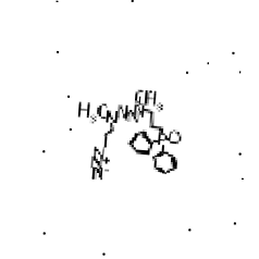 CN(CCCN=[N+]=[N-])/N=N/N(C)CCCP(=O)(c1ccccc1)c1ccccc1